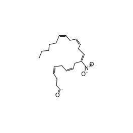 CCCCC/C=C\C/C=C\C/C=C(\C/C=C\C/C=C\CC[C]=O)[N+](=O)[O-]